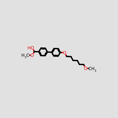 COCCCCCCOc1ccc(-c2ccc(C(O)OC)cc2)cc1